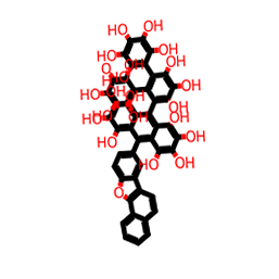 Oc1c(O)c(O)c(-c2c(O)c(O)c(O)c(-c3c4c(O)c(O)c(O)c(O)c4c(-c4ccc5oc6c7ccccc7ccc6c5c4)c4c(O)c(O)c(O)c(O)c34)c2-c2c(O)c(O)c(O)c(O)c2O)c(O)c1O